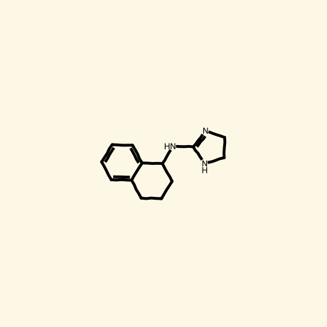 c1ccc2c(c1)CCCC2NC1=NCCN1